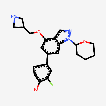 Oc1ccc(-c2cc(OCC3CNC3)c3cnn(C4CCCCO4)c3c2)cc1F